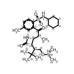 Cc1ccc(S(=O)(=O)NC2CCCCC2)c(C(=O)[C@H](C)[C@H]2NC(=O)[C@H]2[C@@H](CO[SiH](C)C)C(C)(C)C)c1